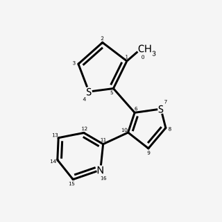 Cc1ccsc1-c1sccc1-c1ccccn1